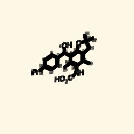 Cc1c2c(c(C(O)c3ccc(C(C)C)cc3)c(C)c1NC(=O)O)OC(C)(C)C2